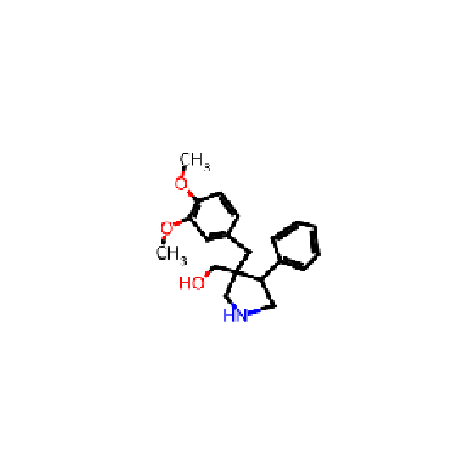 COc1ccc(CC2(CO)CNCC2c2ccccc2)cc1OC